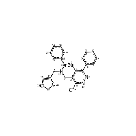 CCCCc1c(-c2ccccc2)nnc(Cl)c1CN(CC1=COCO1)Cc1ccccc1